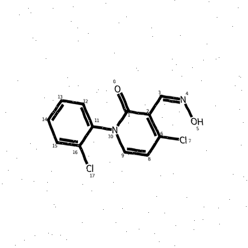 O=c1c(/C=N\O)c(Cl)ccn1-c1ccccc1Cl